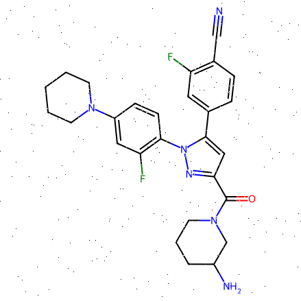 N#Cc1ccc(-c2cc(C(=O)N3CCCC(N)C3)nn2-c2ccc(N3CCCCC3)cc2F)cc1F